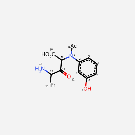 CC(=O)N(c1cccc(O)c1)C(C(=O)O)C(=O)C(N)C(C)C